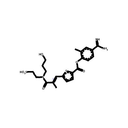 C/C(=C\c1ccc(C(=O)Oc2ccc(C(=N)N)cc2C)s1)C(=O)N(CCCO)CCS(=O)(=O)O